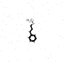 CSC[CH]Cc1ccccc1